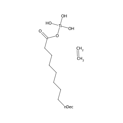 C=C.CCCCCCCCCCCCCCCCCC(=O)[O][Ti]([OH])([OH])[OH]